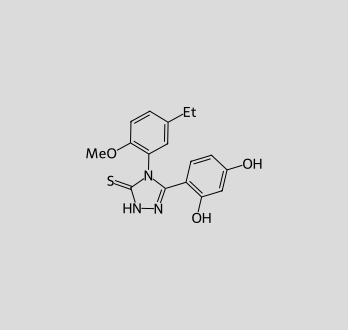 CCc1ccc(OC)c(-n2c(-c3ccc(O)cc3O)n[nH]c2=S)c1